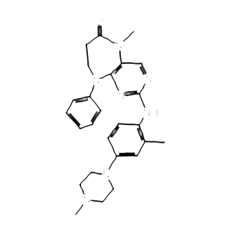 Cc1cc(N2CCN(C)CC2)ccc1Nc1ncc2c(n1)N(c1ccccc1)CCC(=O)N2C